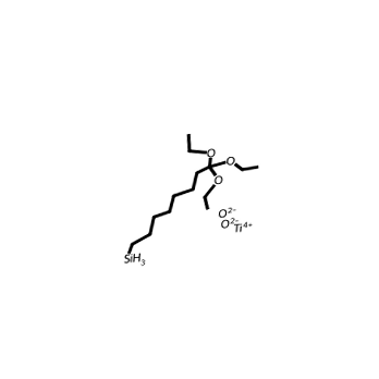 CCOC(CCCCCCC[SiH3])(OCC)OCC.[O-2].[O-2].[Ti+4]